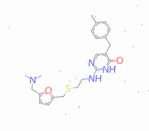 Cc1ccc(Cc2cnc(NCCSCc3ccc(CN(C)C)o3)[nH]c2=O)cc1